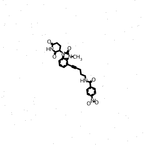 Cn1c(=O)n(C2CCC(=O)NC2=O)c2cccc(C#CCCCNC(=O)c3ccc([N+](=O)[O-])cc3)c21